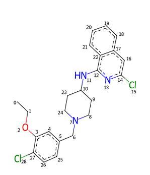 CCOc1cc(CN2CCC(Nc3nc(Cl)cc4ccccc34)CC2)ccc1Cl